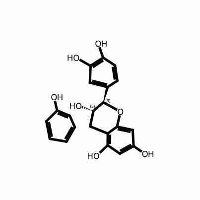 Oc1cc(O)c2c(c1)O[C@H](c1ccc(O)c(O)c1)[C@@H](O)C2.Oc1ccccc1